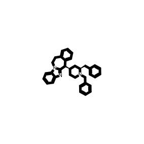 c1ccc(C[C@@H]2C[C@H](C3c4ccccc4CCn4c3nc3ccccc34)CCN2Cc2ccccc2)cc1